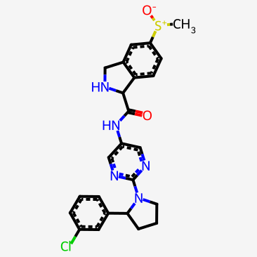 C[S+]([O-])c1ccc2c(c1)CNC2C(=O)Nc1cnc(N2CCCC2c2cccc(Cl)c2)nc1